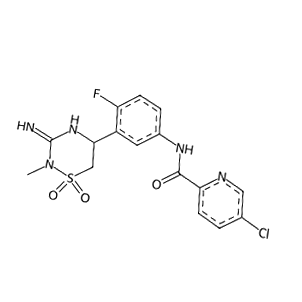 CN1C(=N)NC(c2cc(NC(=O)c3ccc(Cl)cn3)ccc2F)CS1(=O)=O